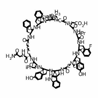 CCCC[C@H]1C(=O)N(C)CC(=O)N[C@@H](CC(=O)O)C(=O)N[C@@H](C(C)C)C(=O)N[C@@H](Cc2ccccc2F)C(=O)N[C@@H](Cc2ccc(O)cc2)C(=O)N(C)CC(=O)N[C@@H](Cc2c[nH]c3ccccc23)C(=O)N[C@@H](Cc2ccc(O)cc2)C(=O)N[C@@H](CC(C)C)C(=O)N[C@H](C(=O)NCC(N)=O)CSCC(=O)N[C@@H](Cc2ccccc2)C(=O)N[C@@H](Cc2ccccc2)C(=O)N1C